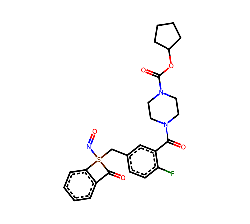 O=NS1(Cc2ccc(F)c(C(=O)N3CCN(C(=O)OC4CCCC4)CC3)c2)C(=O)c2ccccc21